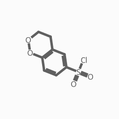 O=S(=O)(Cl)c1ccc2c(c1)CCOO2